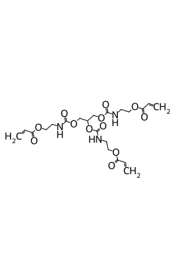 C=CC(=O)OCCNC(=O)OCC(COC(=O)NCCOC(=O)C=C)OC(=O)NCCOC(=O)C=C